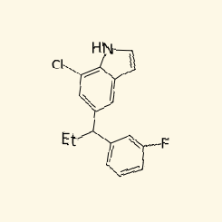 [CH2]CC(c1cccc(F)c1)c1cc(Cl)c2[nH]ccc2c1